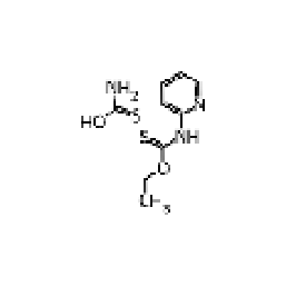 CCOC(=S)Nc1ccccn1.NC(O)=S